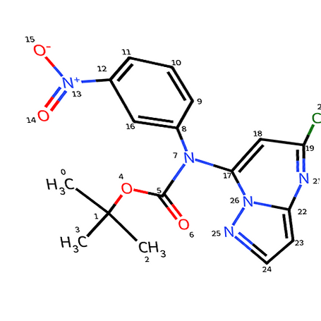 CC(C)(C)OC(=O)N(c1cccc([N+](=O)[O-])c1)c1cc(Cl)nc2ccnn12